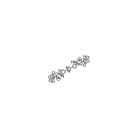 COC(=O)N[C@H](C(=O)N1CCC[C@H]1c1nc2cc(-c3ncc(-c4ccc5nc([C@@H]6CCCN6C(=O)[C@@H](NC(=O)OC)[C@@H](C)OC)[nH]c5c4)cn3)ccc2[nH]1)[C@@H](C)OC